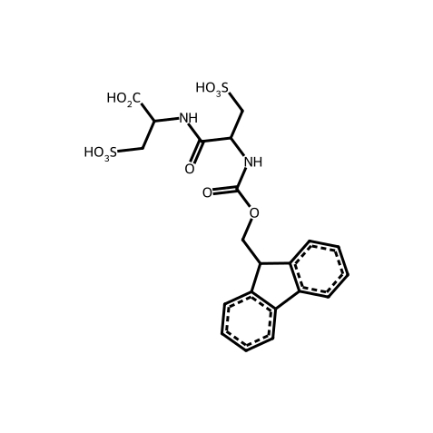 O=C(NC(CS(=O)(=O)O)C(=O)NC(CS(=O)(=O)O)C(=O)O)OCC1c2ccccc2-c2ccccc21